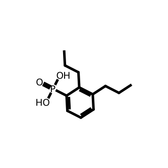 CCCc1cccc(P(=O)(O)O)c1CCC